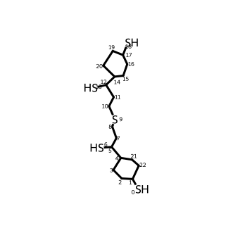 SC1CCC(C(S)CCSCCC(S)C2CCC(S)CC2)CC1